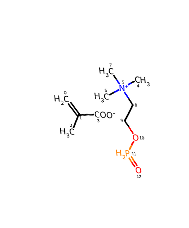 C=C(C)C(=O)[O-].C[N+](C)(C)CCO[PH2]=O